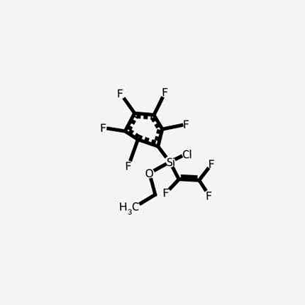 CCO[Si](Cl)(C(F)=C(F)F)c1c(F)c(F)c(F)c(F)c1F